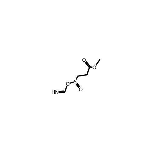 COC(=O)CCS(=O)OC=N